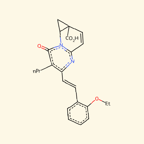 CCCc1c(/C=C/c2ccccc2OCC)nc2n(c1=O)C1CC1(C(=O)O)C=C2